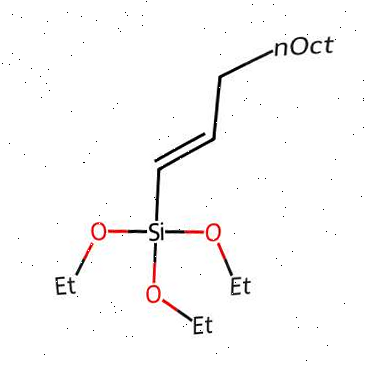 CCCCCCCCC/C=C/[Si](OCC)(OCC)OCC